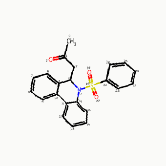 CC(=O)CC1c2ccccc2-c2ccccc2N1S(=O)(=O)c1ccccc1